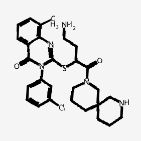 Cc1cccc2c(=O)n(-c3cccc(Cl)c3)c(SC(CCN)C(=O)N3CCCC4(CCCNC4)C3)nc12